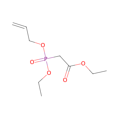 C=CCOP(=O)(CC(=O)OCC)OCC